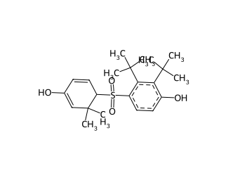 CC(C)(C)c1c(O)ccc(S(=O)(=O)C2C=CC(O)=CC2(C)C)c1C(C)(C)C